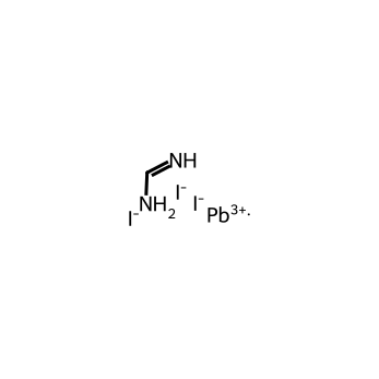 N=CN.[I-].[I-].[I-].[Pb+3]